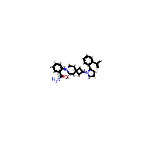 C=C(C)c1ccccc1C1CCCN1C1CC2(CCN(c3ccccc3C(N)=O)CC2)C1